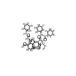 CC[C@@H]1[C@H](OCc2ccccc2)C(OCc2ccccc2)[C@H](c2cn(COCc3ccccc3)c3c(OC)ccnc23)N1O